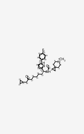 CN1CCC2(CC1)C[C@@H]2C(=O)N[C@@H](CCCCCC(=O)CC1CC1)c1ncc(-c2ccc(F)cc2)[nH]1